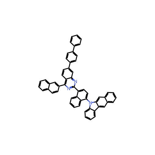 c1ccc(-c2ccc(-c3ccc4c(-c5ccc6ccccc6c5)nc(-c5ccc(-n6c7ccccc7c7cc8ccccc8cc76)c6ccccc56)nc4c3)cc2)cc1